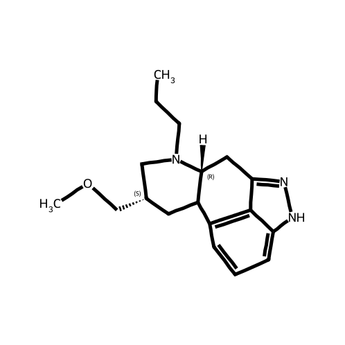 CCCN1C[C@@H](COC)CC2c3cccc4[nH]nc(c34)C[C@H]21